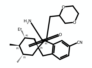 CC[C@@H]1C[C@@]2(Cc3ccc(C#N)cc3[C@]23N=C(N)N(CC2COCCO2)C3=O)C[C@H](C)[C@H]1C